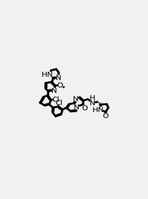 COc1nc(-c2cccc(-c3cccc(-c4ccn5c(=O)c(CNC[C@@H]6CCC(=O)N6)cnc5c4)c3Cl)c2Cl)ccc1C1=NCCCN1